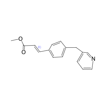 COC(=O)/C=C/c1ccc(Cc2cccnc2)cc1